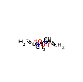 Cc1ccc(-c2ccc3c(c2)C=C/C(=C\C2C(O)C(/C=C4\C=Cc5cc(-c6ccc(C)cc6)ccc5N4C)C2O)N3C)cc1